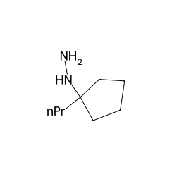 CCCC1(NN)CCCC1